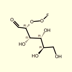 O=C[C@H](OOF)[C@@H](O)[C@H](O)[C@H](O)CO